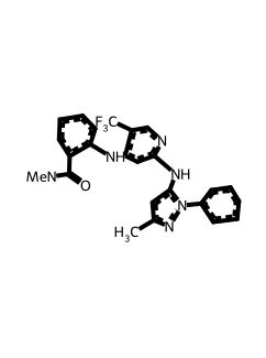 CNC(=O)c1ccccc1Nc1cc(Nc2cc(C)nn2-c2ccccc2)ncc1C(F)(F)F